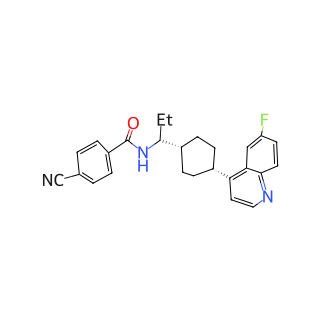 CCC(NC(=O)c1ccc(C#N)cc1)[C@H]1CC[C@@H](c2ccnc3ccc(F)cc32)CC1